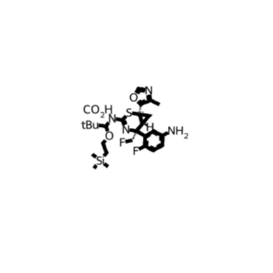 Cc1ncoc1[C@]12C[C@H]1[C@@](CF)(c1cc(N)ccc1F)N=C(N(C(=O)O)C(OCC[Si](C)(C)C)C(C)(C)C)S2